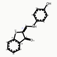 O=C1/C(=C\Nc2ccc(O)cc2)Sc2ccccc21